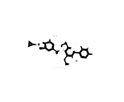 CCOc1c(CC(=O)NC)cc([C@](O)(CNC(=O)c2cc(OC)c3nn(C4CC4)cc3c2)C(F)(F)F)nc1-c1ccc(F)c(F)c1Cl